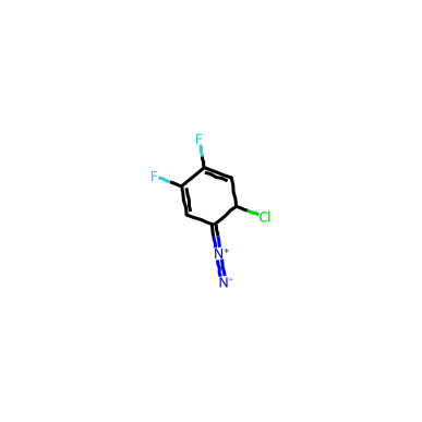 [N-]=[N+]=C1C=C(F)C(F)=CC1Cl